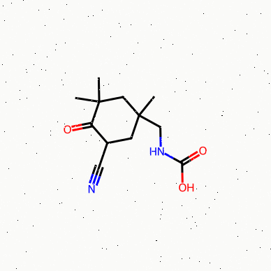 CC1(CNC(=O)O)CC(C#N)C(=O)C(C)(C)C1